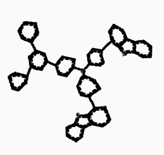 c1ccc(-c2cc(-c3ccccc3)cc(-c3ccc(N(c4ccc(-c5cccc6c5sc5ccccc56)cc4)c4ccc(-c5cccc6c5sc5ccccc56)cc4)cc3)c2)cc1